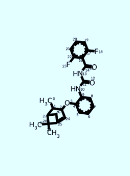 CC1C(Oc2ccccc2NC(=O)NC(=O)c2c(F)cccc2F)C=C2CC1C2(C)C